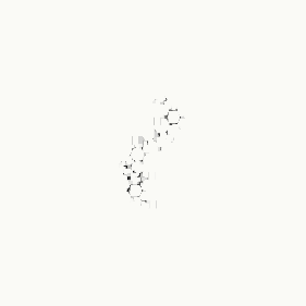 CC(=O)c1cccc(C(=O)NC(=S)Nc2ccc(S(=O)(=O)Nc3ccc(C)cc3C)cc2)c1